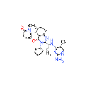 CC(Nc1nc(N)ncc1C#N)c1nc2cccc(-c3cccc(=O)n3C)c2c(=O)n1-c1ccccc1